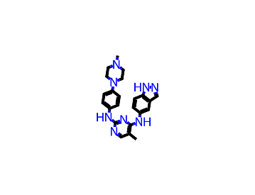 Cc1cnc(Nc2ccc(N3CCN(C)CC3)cc2)nc1Nc1ccc2[nH]ncc2c1